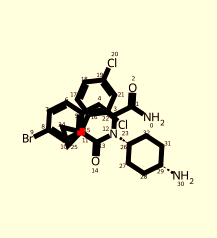 NC(=O)[C@H](Cc1ccc(Br)cc1)N(C(=O)C1(c2ccc(Cl)cc2Cl)CC1)[C@H]1CC[C@@H](N)CC1